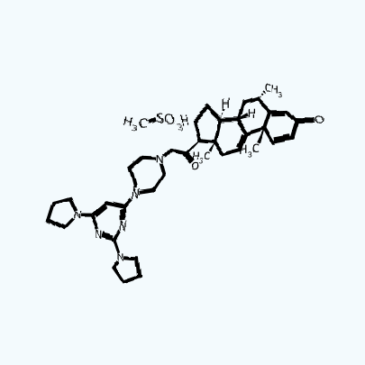 CS(=O)(=O)O.C[C@H]1C[C@@H]2C(=CC[C@]3(C)[C@@H](C(=O)CN4CCN(c5cc(N6CCCC6)nc(N6CCCC6)n5)CC4)CC[C@@H]23)[C@@]2(C)C=CC(=O)C=C12